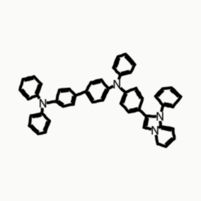 C1=CCN2C=C(c3ccc(N(c4ccccc4)c4ccc(-c5ccc(N(c6ccccc6)c6ccccc6)cc5)cc4)cc3)N(c3ccccc3)C2=C1